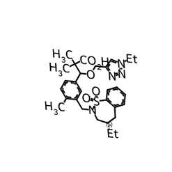 CC[C@H]1Cc2ccccc2S(=O)(=O)N(Cc2cc(C(OCc3cn(CC)nn3)C(C)(C)C(=O)O)ccc2C)C1